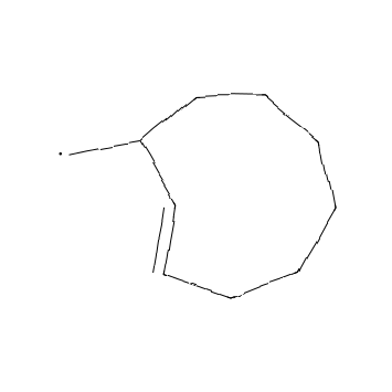 [CH2]C1/C=C/CCCCCC1